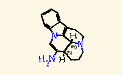 NC1=Cn2c3c(c4ccccc42)CCN2CCC[C@H]1[C@H]32